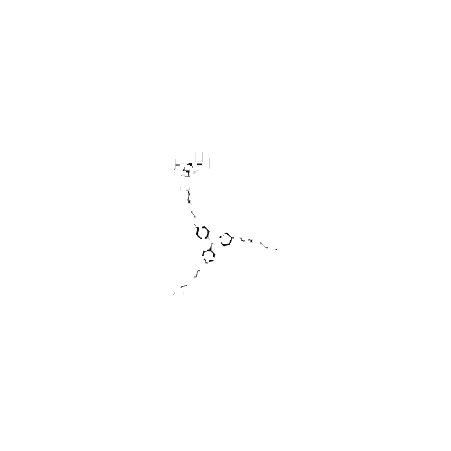 COCCOCCOc1ccc([S+](c2ccc(OCCOCCOC)cc2)c2ccc(OCCOCCOC)cc2)cc1.O=S(=O)([O-])C(F)(F)C(F)(F)C(F)(F)C(F)(F)F